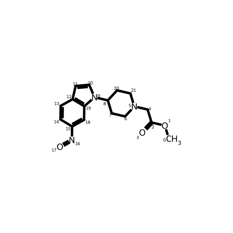 COC(=O)CN1CCC(n2ccc3ccc(N=O)cc32)CC1